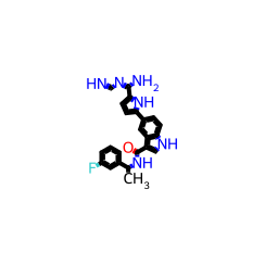 CC(NC(=O)c1c[nH]c2ccc(-c3ccc(/C(N)=N\C=N)[nH]3)cc12)c1cccc(F)c1